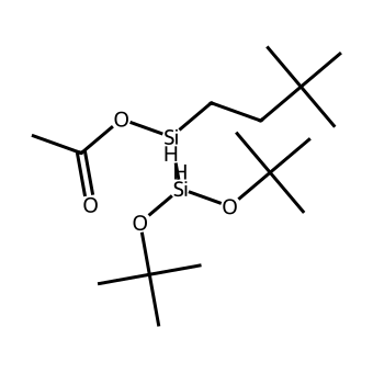 CC(=O)O[SiH](CCC(C)(C)C)[SiH](OC(C)(C)C)OC(C)(C)C